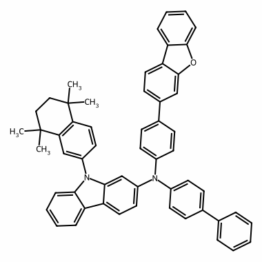 CC1(C)CCC(C)(C)c2cc(-n3c4ccccc4c4ccc(N(c5ccc(-c6ccccc6)cc5)c5ccc(-c6ccc7c(c6)oc6ccccc67)cc5)cc43)ccc21